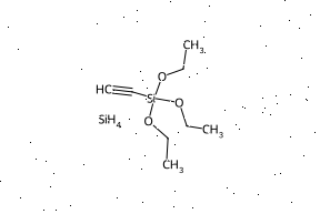 C#C[Si](OCC)(OCC)OCC.[SiH4]